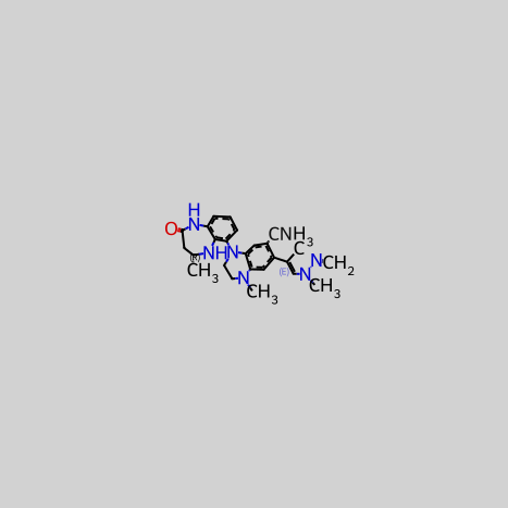 C=NN(C)/C=C(\C)c1cc2c(cc1C#N)N(c1cccc3c1N[C@H](C)CC(=O)N3)CCN2C